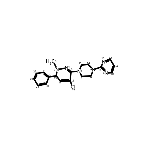 CN1N=C(N2CCN(c3ncccn3)CC2)C(Cl)=CC1c1ccccc1